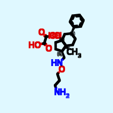 C[C@]12CC[C@H](c3ccccc3)C[C@@]1(O)CC[C@@H]2CNOCCCN.O=C(O)C(=O)O